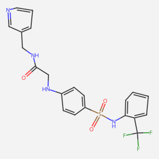 O=C(CNc1ccc(S(=O)(=O)Nc2ccccc2C(F)(F)F)cc1)NCc1cccnc1